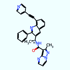 Cc1nn2cccnc2c1C(=O)N[C@@H](C)c1cc2cccc(C#Cc3ccncc3)c2nc1-c1ccccc1